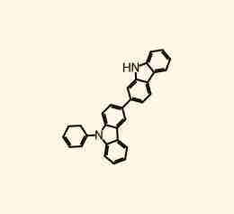 C1=CCCC(n2c3ccccc3c3cc(-c4ccc5c(c4)[nH]c4ccccc45)ccc32)=C1